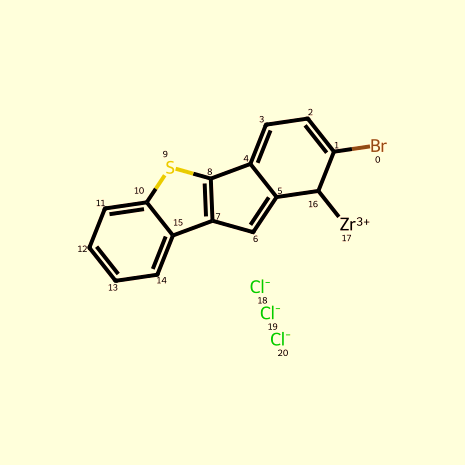 BrC1=CC=C2C(=Cc3c2sc2ccccc32)[CH]1[Zr+3].[Cl-].[Cl-].[Cl-]